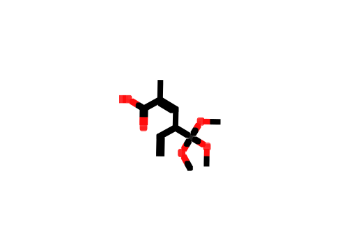 C=CC(C=C(C)C(=O)O)[Si](OC)(OC)OC